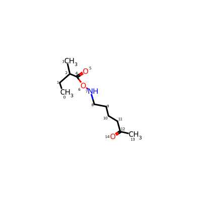 CCC(C)C(=O)ONCCCCC(C)=O